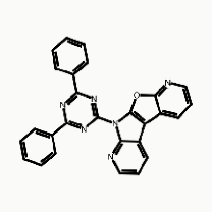 c1ccc(-c2nc(-c3ccccc3)nc(-n3c4ncccc4c4c5cccnc5oc43)n2)cc1